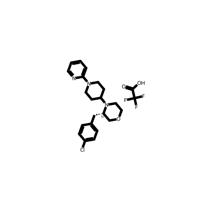 Clc1ccc(C[C@H]2COCCN2C2CCN(c3ccccn3)CC2)cc1.O=C(O)C(F)(F)F